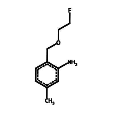 Cc1ccc(COCCF)c(N)c1